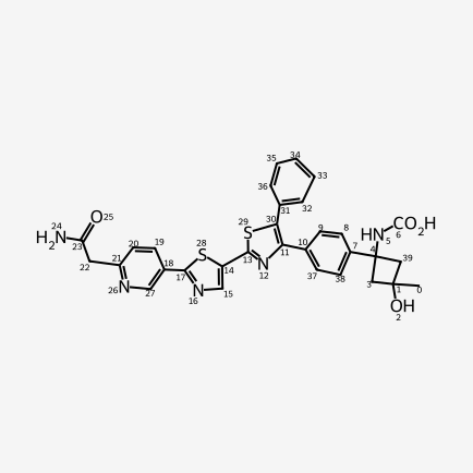 CC1(O)CC(NC(=O)O)(c2ccc(-c3nc(-c4cnc(-c5ccc(CC(N)=O)nc5)s4)sc3-c3ccccc3)cc2)C1